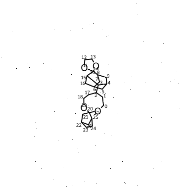 C1CC(C2C3CC4CC(C3)C3(OCCO3)C2C4)CCOC2(CC3CCC2C3)O1